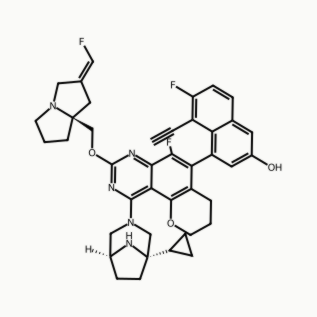 C#Cc1c(F)ccc2cc(O)cc(-c3c4c(c5c(N6C[C@@H]7CC[C@](C8CC8)(C6)N7)nc(OC[C@@]67CCCN6C/C(=C\F)C7)nc5c3F)OCCC4)c12